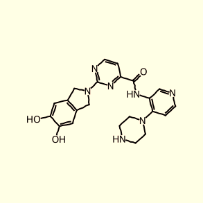 O=C(Nc1cnccc1N1CCNCC1)c1ccnc(N2Cc3cc(O)c(O)cc3C2)n1